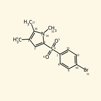 Cc1cc(S(=O)(=O)c2ccc(Br)cc2)n(C)c1C